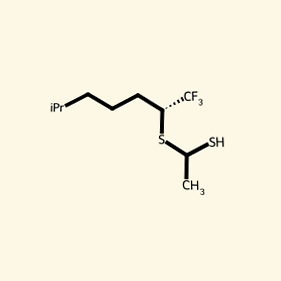 CC(C)CCC[C@@H](SC(C)S)C(F)(F)F